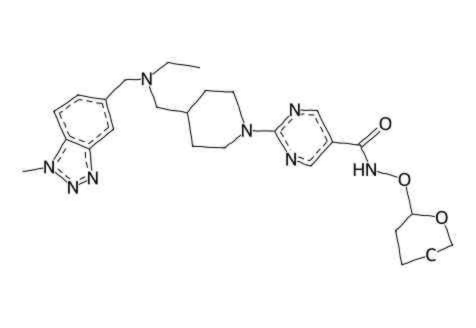 CCN(Cc1ccc2c(c1)nnn2C)CC1CCN(c2ncc(C(=O)NOC3CCCCO3)cn2)CC1